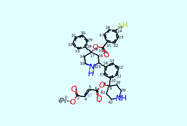 CC(C)OC(=O)/C=C/C(=O)OC1(c2cccc(C3CC(OC(=O)c4ccc(S)cc4)(c4ccccc4)CCN3)c2)CCNCC1